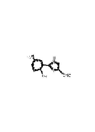 O=Cc1c[nH]c(-c2cc([N+](=O)[O-])ccc2O)n1